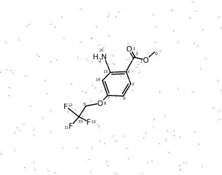 COC(=O)c1ccc(OCC(F)(F)F)cc1N